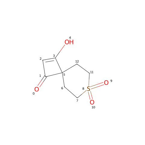 O=C1C=C(O)C12CCS(=O)(=O)CC2